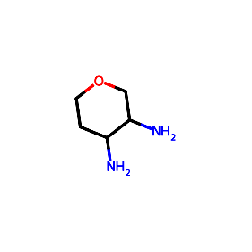 NC1CCOCC1N